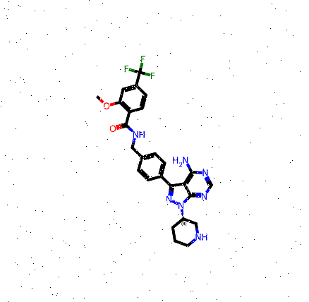 COc1cc(C(F)(F)F)ccc1C(=O)NCc1ccc(-c2nn([C@@H]3CCCNC3)c3ncnc(N)c23)cc1